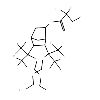 CCOCOC(C1C2CC(OC(=O)C(C)(F)CC)C(C2)C1C(OCOCC)(C(F)(F)F)C(F)(F)F)(C(F)(F)F)C(F)(F)F